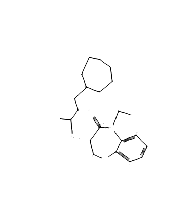 CCOC(=O)C(CCC1CCCCCC1)N[C@H]1COc2ccccc2N(CC(=O)O)C1=O